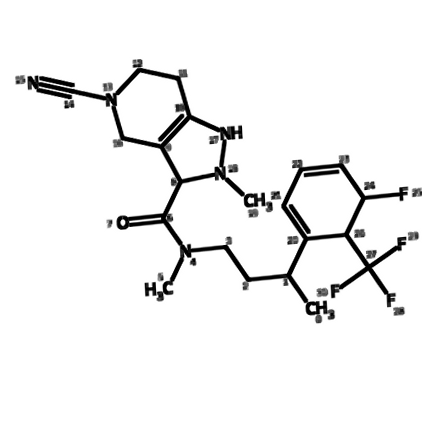 CC(CCN(C)C(=O)C1C2=C(CCN(C#N)C2)NN1C)C1=CC=CC(F)C1C(F)(F)F